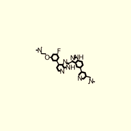 CN(C)CCOc1cc(F)cc(-c2ccnc3[nH]c(-c4n[nH]c5ccc(-c6cncc(CN(C)C)c6)cc45)nc23)c1